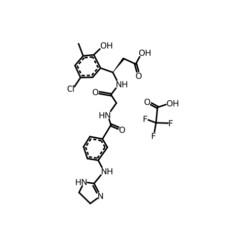 Cc1cc(Cl)cc([C@@H](CC(=O)O)NC(=O)CNC(=O)c2cccc(NC3=NCCN3)c2)c1O.O=C(O)C(F)(F)F